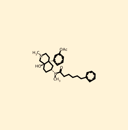 CC(=O)Oc1cccc([C@@]23CCN(C)C[C@@]2(O)CC[C@@H](N(C)C(=O)CCCCCc2ccccc2)C3)c1